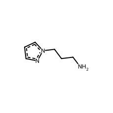 NCCCn1cccn1